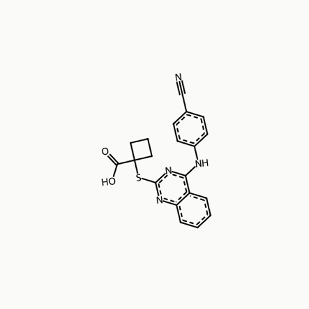 N#Cc1ccc(Nc2nc(SC3(C(=O)O)CCC3)nc3ccccc23)cc1